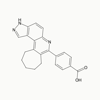 O=C(O)c1ccc(-c2nc3ccc4[nH]ncc4c3c3c2CCCCC3)cc1